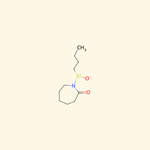 CCCC[S+]([O-])N1CCCCCC1=O